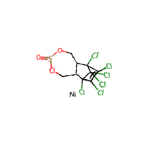 O=S1OCC2C(CO1)C1(Cl)C(Cl)=C(Cl)C2(Cl)C1(Cl)Cl.[Ni]